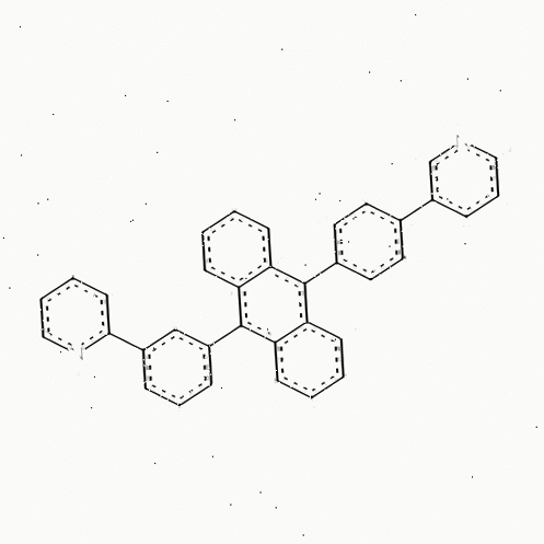 c1ccc(-c2cccc(-c3c4ccccc4c(-c4ccc(-c5cccnc5)cc4)c4ccccc34)c2)nc1